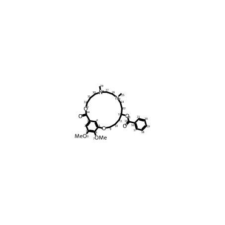 COc1cc2cc(c1OC)OCCCC(OC(=O)c1ccccc1)CCN(C)CCN(C)CCCOC2=O